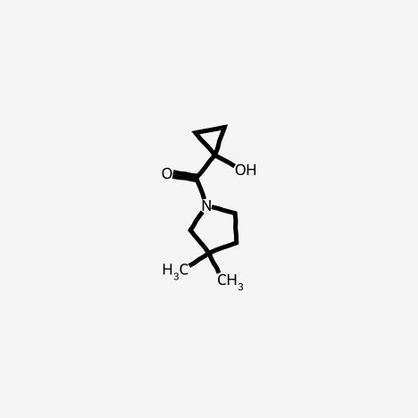 CC1(C)CCN(C(=O)C2(O)CC2)C1